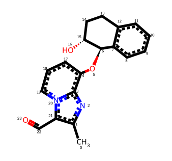 Cc1nc2c(O[C@@H]3c4ccccc4CC[C@H]3O)cccn2c1C=O